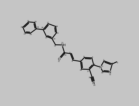 Cc1cn(-c2ccc(C=CC(=O)NCc3cccc(-c4ccccc4)c3)cc2C#N)cn1